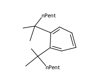 CCCCCC(C)(C)c1ccccc1C(C)(C)CCCCC